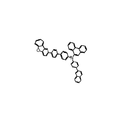 c1ccc2cc(-c3ccc(N(c4ccc(-c5ccc(-c6ccc7oc8ccccc8c7c6)cc5)cc4)c4cc5ccccc5c5ccccc45)cc3)ccc2c1